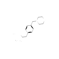 CN[C@@H](Cc1ccc(CN2CCOCC2)cc1)C(=O)O